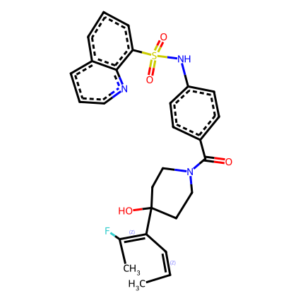 C/C=C\C(=C(/C)F)C1(O)CCN(C(=O)c2ccc(NS(=O)(=O)c3cccc4cccnc34)cc2)CC1